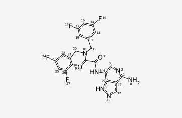 Nc1ncc(NC(=O)C(=O)N(Cc2cc(F)cc(F)c2)Cc2cc(F)cc(F)c2)c2[nH]ncc12